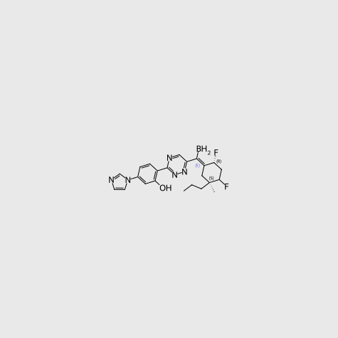 B/C(=C1/C[C@](C)(CCC)C(F)C[C@H]1F)c1cnc(-c2ccc(-n3ccnc3)cc2O)nn1